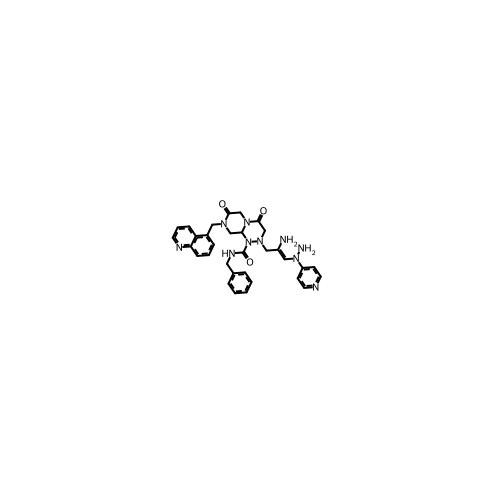 N/C(=C\N(N)c1ccncc1)CN1CC(=O)N2CC(=O)N(Cc3cccc4ncccc34)CC2N1C(=O)NCc1ccccc1